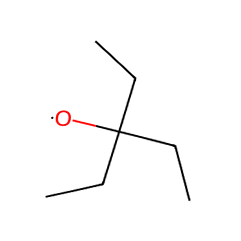 CCC([O])(CC)CC